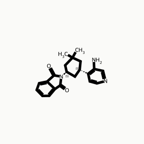 CC1(C)C[C@H](c2ccncc2N)C[C@H](N2C(=O)c3ccccc3C2=O)C1